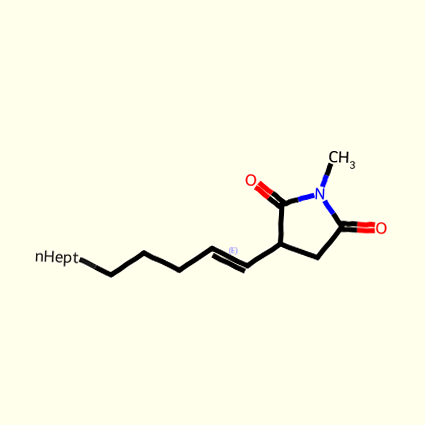 CCCCCCCCCC/C=C/C1CC(=O)N(C)C1=O